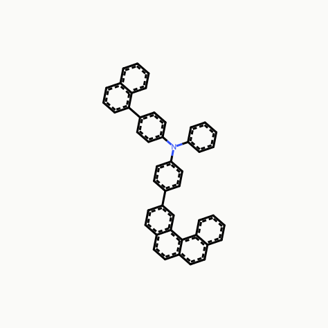 c1ccc(N(c2ccc(-c3ccc4ccc5ccc6ccccc6c5c4c3)cc2)c2ccc(-c3cccc4ccccc34)cc2)cc1